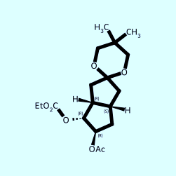 CCOC(=O)O[C@@H]1[C@@H]2CC3(C[C@@H]2C[C@H]1OC(C)=O)OCC(C)(C)CO3